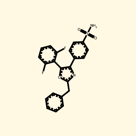 NS(=O)(=O)c1ccc(-c2nc(Cc3ccccc3)oc2-c2c(F)cccc2F)cc1